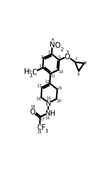 Cc1cc([N+](=O)[O-])c(OC2CC2)cc1C1=CCN(NC(=O)C(F)(F)F)CC1